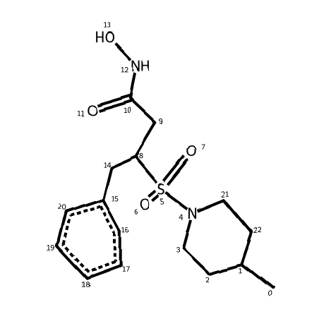 CC1CCN(S(=O)(=O)C(CC(=O)NO)Cc2ccccc2)CC1